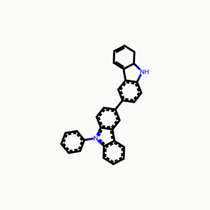 C1=CCC2Nc3ccc(-c4ccc5c(c4)c4ccccc4n5-c4ccccc4)cc3C2=C1